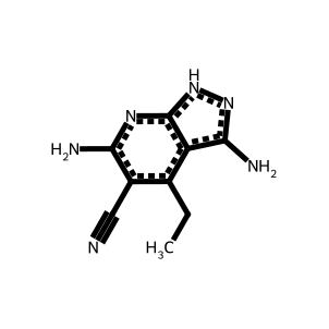 CCc1c(C#N)c(N)nc2[nH]nc(N)c12